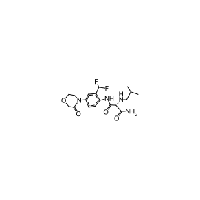 CC(C)CN[C@H](C(N)=O)C(=O)Nc1ccc(N2CCOCC2=O)cc1C(F)F